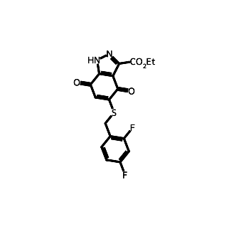 CCOC(=O)c1n[nH]c2c1C(=O)C(SCc1ccc(F)cc1F)=CC2=O